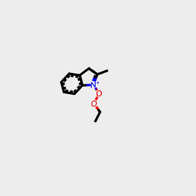 CCOO[N+]1=C(C)Cc2ccccc21